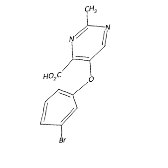 Cc1ncc(Oc2cccc(Br)c2)c(C(=O)O)n1